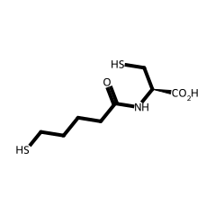 O=C(CCCCS)N[C@@H](CS)C(=O)O